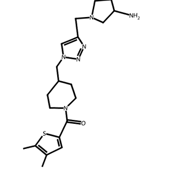 Cc1cc(C(=O)N2CCC(Cn3cc(CN4CCC(N)C4)nn3)CC2)sc1C